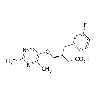 Cc1ncc(OC[C@H](CC(=O)O)Cc2cccc(F)c2)c(C)n1